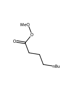 CCCCCCCC(=O)OOC